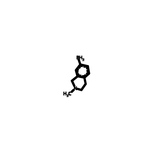 Bc1ccc2c(c1)CN(C)CC2